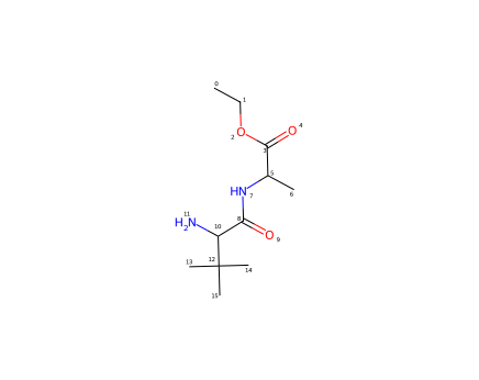 CCOC(=O)C(C)NC(=O)C(N)C(C)(C)C